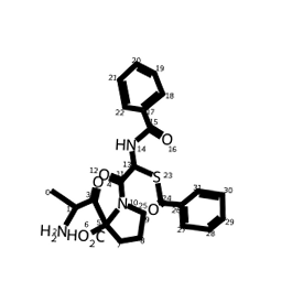 CC(N)C(=O)C1(C(=O)O)CCCN1C(=O)C(NC(=O)c1ccccc1)SC(=O)c1ccccc1